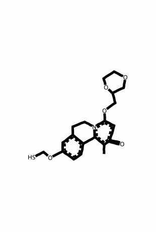 Cc1c2n(c(OCC3COCCO3)cc1=O)CCc1cc(OCS)ccc1-2